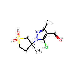 Cc1nn(C2(C)CCS(=O)(=O)C2)c(Cl)c1C=O